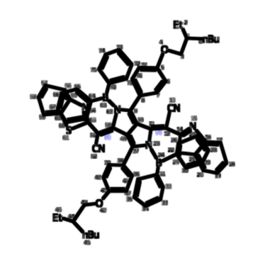 CCCCC(CC)COc1ccc(-c2c3/c(=C(\C#N)c4nc5ccccc5s4)n(B(c4ccccc4)c4ccccc4)c(-c4ccc(OCC(CC)CCCC)cc4)c3/c(=C(\C#N)c3nc4ccccc4s3)n2B(c2ccccc2)c2ccccc2)cc1